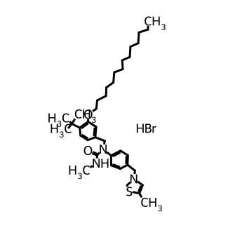 Br.CCCCCCCCCCCCCCOc1cc(CN(C(=O)NC)c2ccc(CN3C=C(C)SC3)cc2)ccc1C(C)(C)C